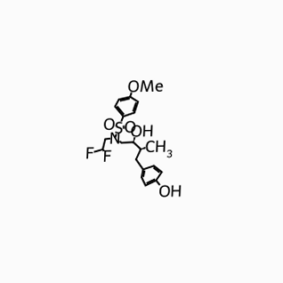 COc1ccc(S(=O)(=O)N(CC(F)F)C[C@@H](O)[C@@H](C)Cc2ccc(O)cc2)cc1